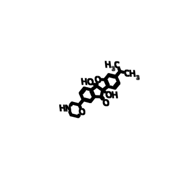 CC(C)c1ccc2c(c1)OC1(O)c3ccc(C4CNCCO4)cc3C(=O)C21O